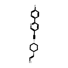 CCC=C[C@H]1CC[C@H](C#Cc2ccc(-c3ccc(F)cc3)nc2)CC1